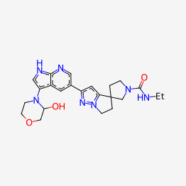 CCNC(=O)N1CCC2(CCn3nc(-c4cnc5[nH]cc(N6CCOCC6O)c5c4)cc32)C1